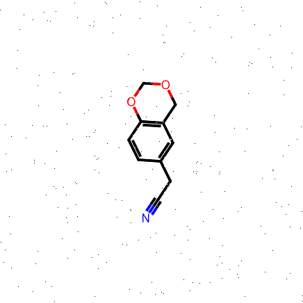 N#CCc1ccc2c(c1)COCO2